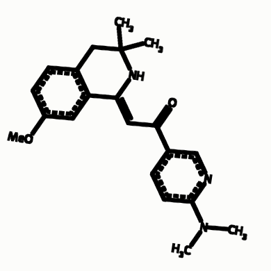 COc1ccc2c(c1)C(=CC(=O)c1ccc(N(C)C)nc1)NC(C)(C)C2